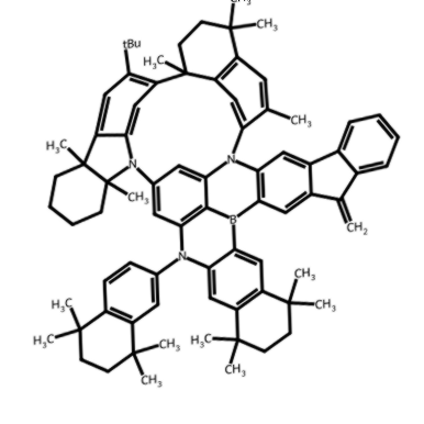 C=C1c2ccccc2-c2cc3c(cc21)B1c2cc4c(cc2N(c2ccc5c(c2)C(C)(C)CCC5(C)C)c2cc5cc(c21)N3c1cc2c(cc1C)C(C)(C)CCC2(C)c1cc2c(cc1C(C)(C)C)C1(C)CCCCC1(C)N52)C(C)(C)CCC4(C)C